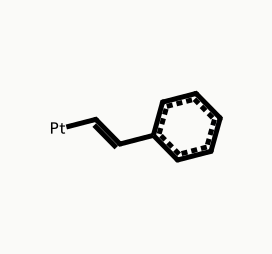 [Pt][CH]=Cc1ccccc1